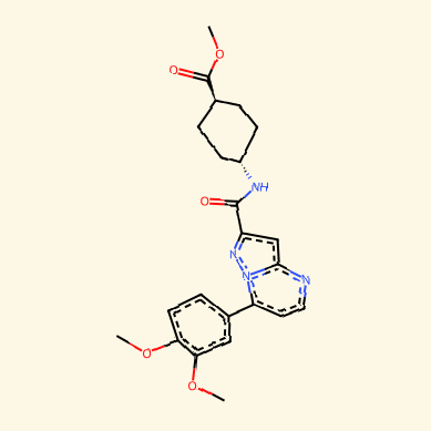 COc1ccc(-c2ccnc3cc(C(=O)N[C@H]4CC[C@H](C(=O)OC)CC4)nn23)cc1OC